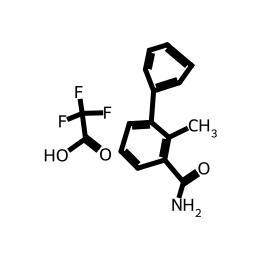 Cc1c(C(N)=O)cccc1-c1ccccc1.O=C(O)C(F)(F)F